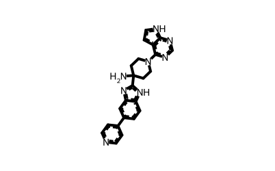 NC1(c2nc3cc(-c4ccncc4)ccc3[nH]2)CCN(c2ncnc3[nH]ccc23)CC1